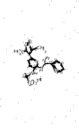 Cc1noc(C)c1-c1ccc(NC(=O)C(=O)O)c(N[C@H](c2ccccn2)C(C)C)n1